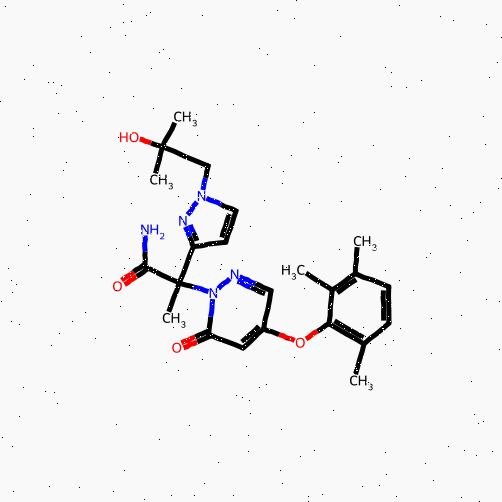 Cc1ccc(C)c(Oc2cnn(C(C)(C(N)=O)c3ccn(CC(C)(C)O)n3)c(=O)c2)c1C